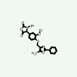 CCCN1C(=O)OC(=O)C1c1ccc(OCc2nc(-c3ccccc3)oc2C)c(OCC)c1